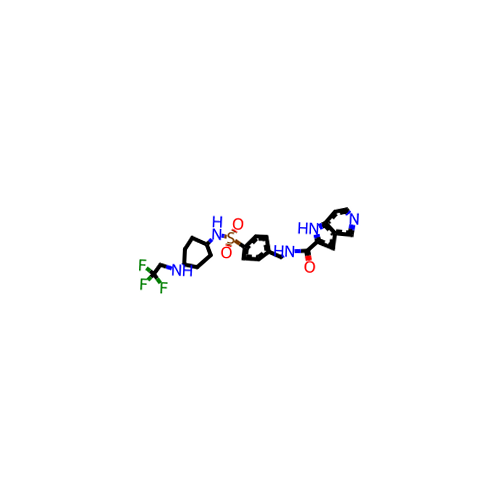 O=C(NCc1ccc(S(=O)(=O)NC2CCC(NCC(F)(F)F)CC2)cc1)c1cc2cnccc2[nH]1